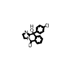 O=C1c2ccccc2C(O)(c2ccc(Cl)cc2)C2=NCCN12